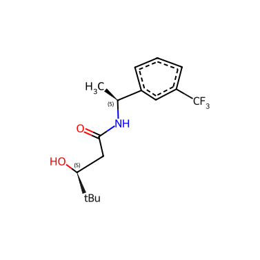 C[C@H](NC(=O)C[C@H](O)C(C)(C)C)c1cccc(C(F)(F)F)c1